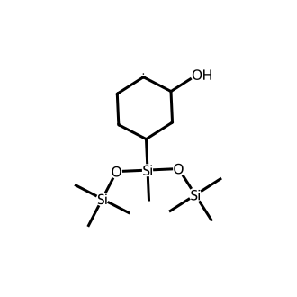 C[Si](C)(C)O[Si](C)(O[Si](C)(C)C)C1CC[CH]C(O)C1